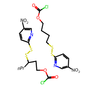 CCCC(CCOC(=O)Cl)SSc1ccc([N+](=O)[O-])cn1.O=C(Cl)OCCCCSSc1ccc([N+](=O)[O-])cn1